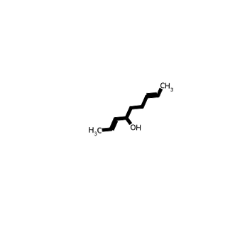 CC=CCCC(O)C=CC